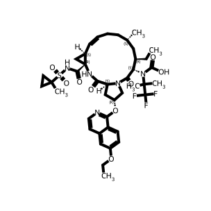 CCOc1ccc2c(O[C@@H]3C[C@H]4C(=O)N[C@]5(C(=O)NS(=O)(=O)C6(C)CC6)C[C@H]5C=CCC[C@H](C)C[C@@H](CC)[C@H](N(C(=O)O)C(C)(C)C(F)(F)F)C(=O)N4C3)nccc2c1